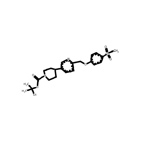 CCC(C)(C)OC(=O)N1CCC(c2ccc(COc3ccc(S(C)(=O)=O)cc3)nc2)CC1